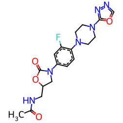 CC(=O)NCC1CN(c2ccc(N3CCN(c4nnco4)CC3)c(F)c2)C(=O)O1